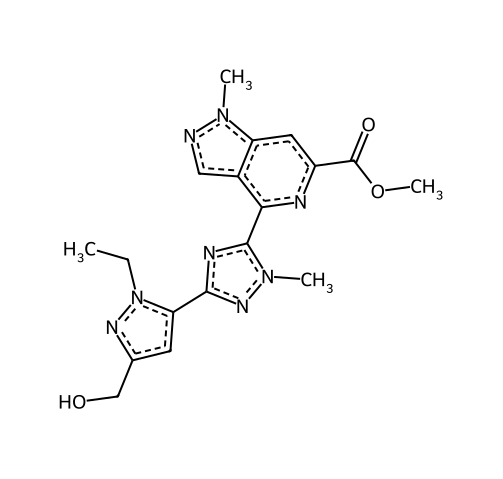 CCn1nc(CO)cc1-c1nc(-c2nc(C(=O)OC)cc3c2cnn3C)n(C)n1